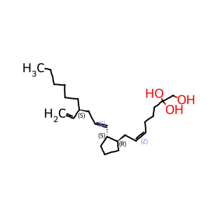 C=C[C@H](C/C=C/[C@H]1CCC[C@@H]1C/C=C\CCCC(O)(O)CO)CCCCCC